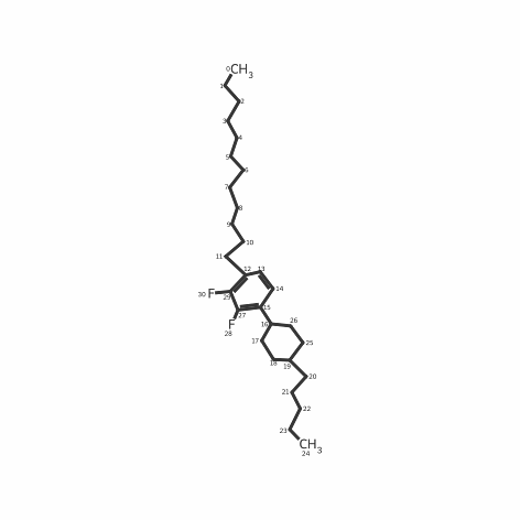 CCCCCCCCCCCCc1ccc(C2CCC(CCCCC)CC2)c(F)c1F